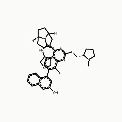 CN1CCC[C@H]1COc1nc(N2CC[C@@H]3CC[C@H](C2)N3C(=O)NC2CCOC2)c2ccc(-c3cc(O)cc4ccccc34)c(F)c2n1